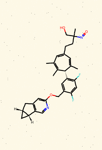 CC1=CC(CCC(C)(CO)N=O)=CC(C)=C(C)[C@H]1c1cc(COc2cc3c(cn2)[C@@H]2C[C@@H]2C3)c(F)cc1F